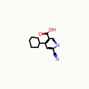 N#Cc1cc(C2CCCCC2)c(C(=O)O)cn1